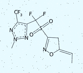 C/C=C1/CC(S(=O)(=O)C(F)(F)c2nn(C)nc2C(F)(F)F)=NO1